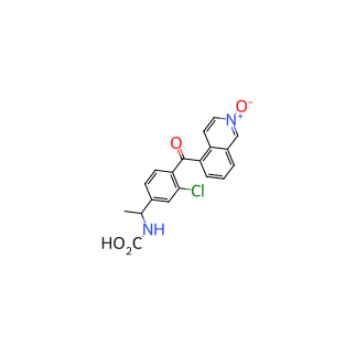 CC(NC(=O)O)c1ccc(C(=O)c2cccc3c[n+]([O-])ccc23)c(Cl)c1